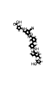 Cc1c(Nc2nccc3cc(CN4CC[C@@H](O)C4)cnc23)cccc1-c1cccc(-c2nc3cc(CN[C@H]4CC[C@@H](C(=O)O)C4)cc(C#N)c3o2)c1C